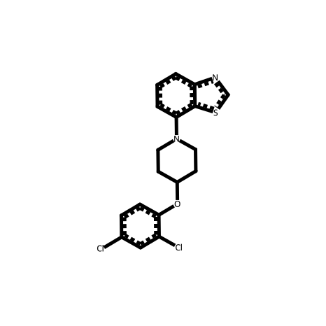 Clc1ccc(OC2CCN(c3cccc4ncsc34)CC2)c(Cl)c1